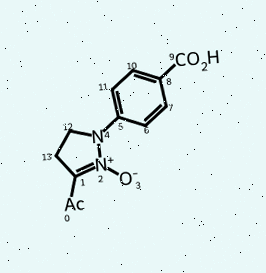 CC(=O)C1=[N+]([O-])N(c2ccc(C(=O)O)cc2)CC1